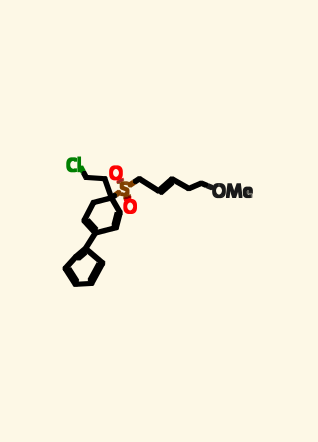 COCCC=CCS(=O)(=O)C1(CCCl)C=CC(c2ccccc2)=CC1